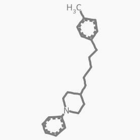 Cc1ccc(CCCCCC2CCN(c3ccccc3)CC2)cc1